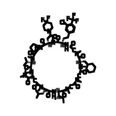 CC[C@H](C)[C@@H]1NC(=O)[C@H](CC(C)C)N(C)C(=O)C[C@@H](C(=O)N(C)C)N(C)C(=O)[C@H](C(C)C)N(C)C(=O)C2(CCCC2)NC(=O)[C@H](CC(=O)N2CCC(F)(F)CC2)N(C)C(=O)[C@H](CCc2ccc(C(F)(F)F)c(Cl)c2)NC(=O)CN(C)C(=O)[C@H](CC2CCCCC2)N(C)C(=O)CN(C)C(=O)CN(C)C1=O